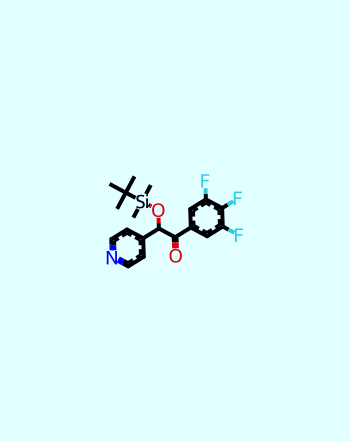 CC(C)(C)[Si](C)(C)OC(C(=O)c1cc(F)c(F)c(F)c1)c1ccncc1